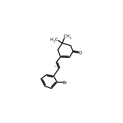 CC1(C)CC(=O)C=C(/C=C/c2ccccc2Br)C1